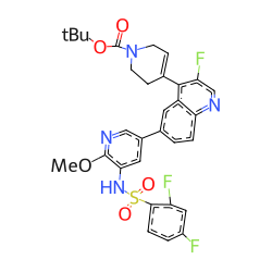 COc1ncc(-c2ccc3ncc(F)c(C4=CCN(C(=O)OC(C)(C)C)CC4)c3c2)cc1NS(=O)(=O)c1ccc(F)cc1F